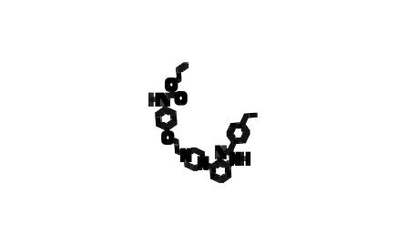 C=CCOC(=O)Nc1ccc(OCCN2CCN(c3cccc4[nH]c(-c5ccc(CC)cc5)nc34)CC2)cc1